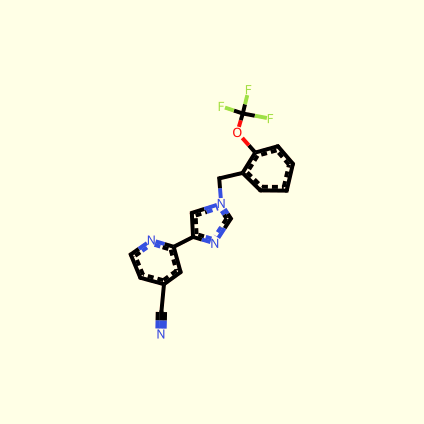 N#Cc1ccnc(-c2cn(Cc3ccccc3OC(F)(F)F)cn2)c1